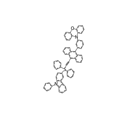 C(#CS(c1ccccc1)(c1ccccc1)c1ccc2c(c1)c1ccccc1n2-c1ccccc1)c1c2ccccc2c(-c2cccc(N3c4ccccc4Oc4ccccc43)c2)c2ccccc12